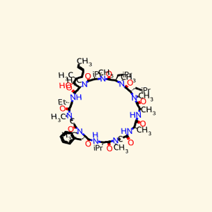 C/C=C/C[C@@H](C)[C@@H](O)[C@H]1C(=O)N[C@@H](CC)C(=O)N(C)CC(=O)N(C)[C@@H](Cc2ccccc2)C(=O)N[C@@H](C(C)C)C(=O)N(C)CC(=O)N[C@@H](C)C(=O)N[C@H](C)C(=O)N(C)[C@@H](CC(C)C)C(=O)N(C)[C@H](CC(C)C)C(=O)N(C)[C@@H](C(C)C)C(=O)N1C